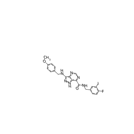 COc1ccc(CNc2n[nH]c3c(C(=O)NCc4ccc(F)c(I)c4)ncnc23)cc1